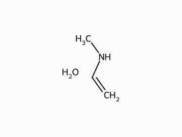 C=CNC.O